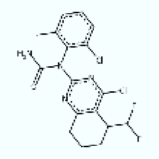 Cc1cccc(Cl)c1N(C(N)=O)c1nc(Cl)c2c(n1)CCCC2C(F)F